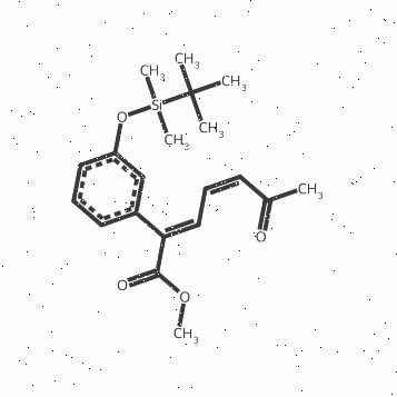 COC(=O)/C(=C/C=C\C(C)=O)c1cccc(O[Si](C)(C)C(C)(C)C)c1